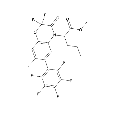 CCCC(C(=O)OC)N1C(=O)C(F)(F)Oc2cc(F)c(-c3c(F)c(F)c(F)c(F)c3F)cc21